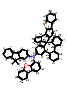 CC1(C)c2ccccc2-c2ccc(N(c3ccc4c(c3)-c3ccccc3-c3ccccc3C43c4ccccc4-c4c3ccc3c4sc4ccccc43)c3cccc4c3oc3ccccc34)cc21